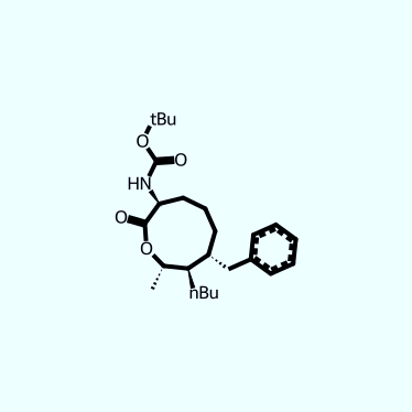 CCCC[C@@H]1[C@@H](Cc2ccccc2)CCC[C@H](NC(=O)OC(C)(C)C)C(=O)O[C@H]1C